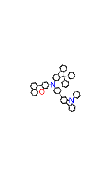 c1ccc(-n2c3ccccc3c3ccc(-c4ccc(N(c5ccc6c(c5)Oc5cccc7cccc-6c57)c5ccc6c(c5)C(c5ccccc5)(c5ccccc5)c5ccccc5-6)cc4)cc32)cc1